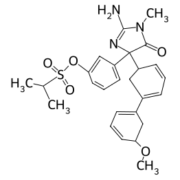 COC1C=CC=C(C2=CC=CC(C3(c4cccc(OS(=O)(=O)C(C)C)c4)N=C(N)N(C)C3=O)C2)C1